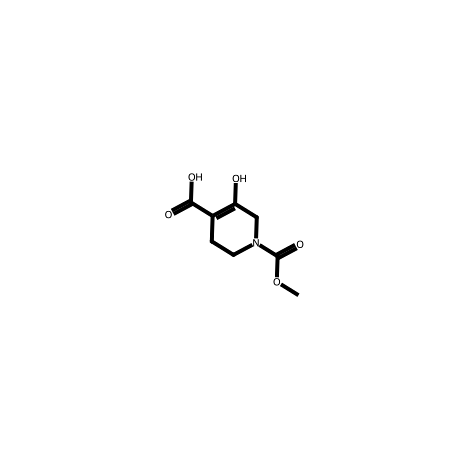 COC(=O)N1CCC(C(=O)O)=C(O)C1